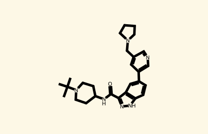 CC(C)(C)N1CCC(NC(=O)c2n[nH]c3ccc(-c4cncc(CN5CCCC5)c4)cc23)CC1